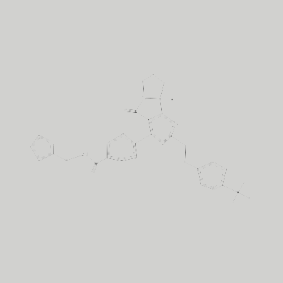 O=C(NCc1ccco1)c1ccc(-c2cc(CCc3ccc(C(F)(F)F)cc3)nc3c2C(=O)N2CCC[C@@H]32)cc1